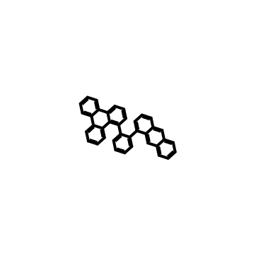 c1ccc(-c2cccc3c4ccccc4c4ccccc4c23)c(-c2cccc3cc4ccccc4cc23)c1